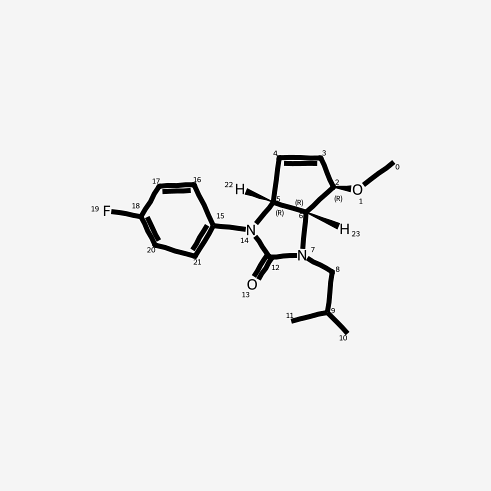 CO[C@@H]1C=C[C@@H]2[C@H]1N(CC(C)C)C(=O)N2c1ccc(F)cc1